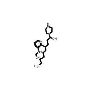 CCCCCCC(CCC(O)N1CCNCC1)c1ncccc1NCC